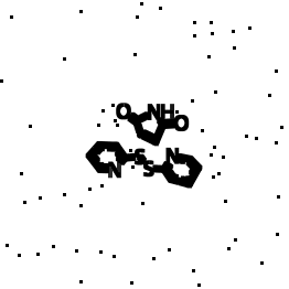 O=C1C=CC(=O)N1.c1ccc(SSc2ccccn2)nc1